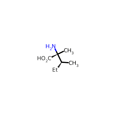 CC[C@H](C)[C@@](C)(N)C(=O)O